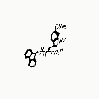 COc1ccc2c(CC(NC(=O)OCC3c4ccccc4-c4ccccc43)C(=O)O)c[nH]c2c1